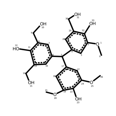 COc1cc(C(c2cc(CO)c(O)c(CO)c2)c2cc(OC)c(O)c(OC)c2)cc(CO)c1O